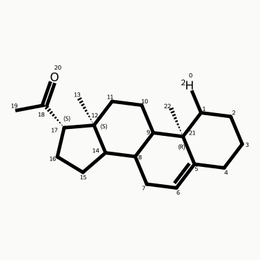 [2H]C1CCCC2=CCC3C(CC[C@@]4(C)C3CC[C@@H]4C(C)=O)[C@]21C